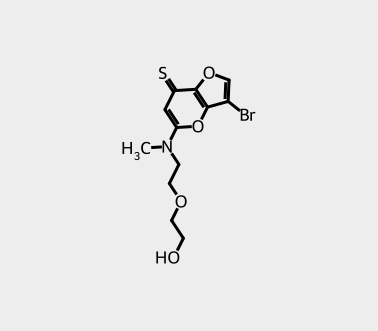 CN(CCOCCO)c1cc(=S)c2occ(Br)c2o1